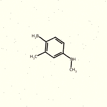 Bc1ccc(BC)cc1C